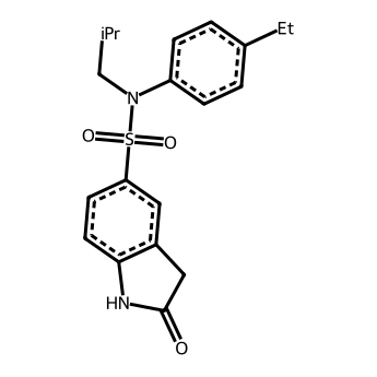 CCc1ccc(N(CC(C)C)S(=O)(=O)c2ccc3c(c2)CC(=O)N3)cc1